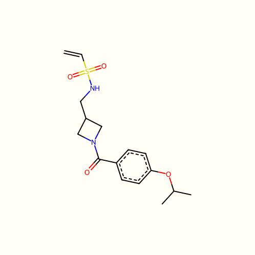 C=CS(=O)(=O)NCC1CN(C(=O)c2ccc(OC(C)C)cc2)C1